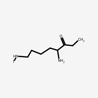 CCC(=O)C(N)CCCCNI